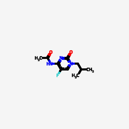 CC(=O)Nc1nc(=O)n(CC(C)C)cc1F